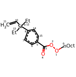 [CH2]CCCCCCCOOC(=O)c1ccc([Si](C=C)(CC)CC)cc1